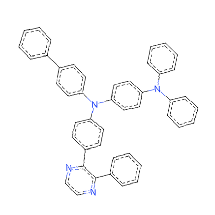 c1ccc(-c2ccc(N(c3ccc(-c4nccnc4-c4ccccc4)cc3)c3ccc(N(c4ccccc4)c4ccccc4)cc3)cc2)cc1